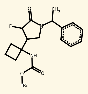 CC(c1ccccc1)N1CC(C2(NC(=O)OC(C)(C)C)CCC2)C(F)C1=O